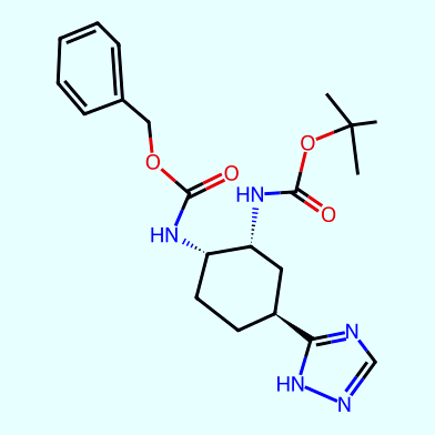 CC(C)(C)OC(=O)N[C@@H]1C[C@@H](c2ncn[nH]2)CC[C@@H]1NC(=O)OCc1ccccc1